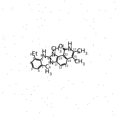 CCc1cccc(C)c1Nc1nc2ccc3c(C)c(C)[nH]c(=O)c3c2n1C